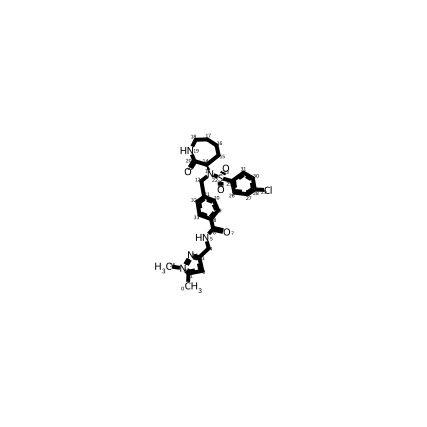 Cc1cc(CNC(=O)c2ccc(CN([C@@H]3CCCCNC3=O)S(=O)(=O)c3ccc(Cl)cc3)cc2)nn1C